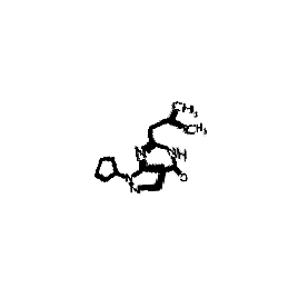 CC(C)Cc1nc2c(cnn2C2CCCC2)c(=O)[nH]1